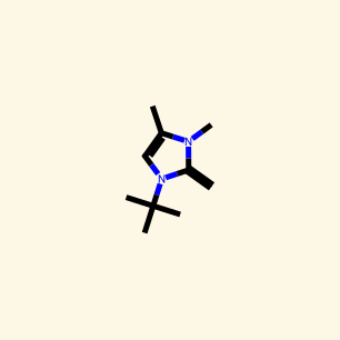 C=C1N(C)C(C)=CN1C(C)(C)C